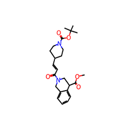 COC(=O)C1CN(C(=O)/C=C/C2CCN(C(=O)OC(C)(C)C)CC2)Cc2ccccc21